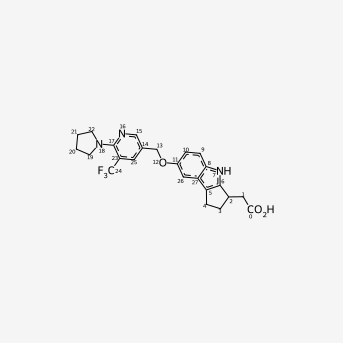 O=C(O)CC1CCc2c1[nH]c1ccc(OCc3cnc(N4CCCC4)c(C(F)(F)F)c3)cc21